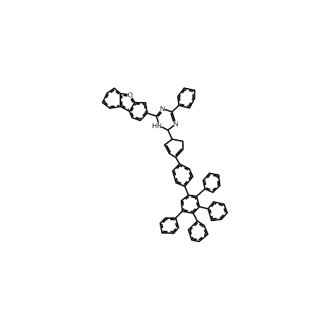 C1=CC(C2N=C(c3ccccc3)N=C(c3ccc4c(c3)oc3ccccc34)N2)CC=C1c1ccc(-c2cc(-c3ccccc3)c(-c3ccccc3)c(-c3ccccc3)c2-c2ccccc2)cc1